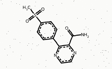 CS(=O)(=O)c1ccc(-c2nccnc2C(N)=O)cc1